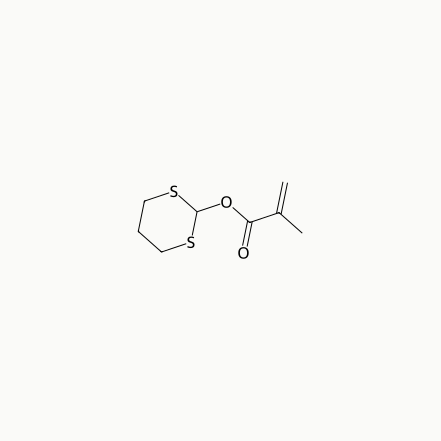 C=C(C)C(=O)OC1SCCCS1